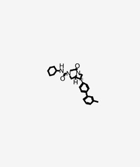 Cc1cccc(-c2ccc([C@@H]3CN4C(=O)CN(C(=O)NC5CCCCC5)C[C@@H]34)cc2)c1